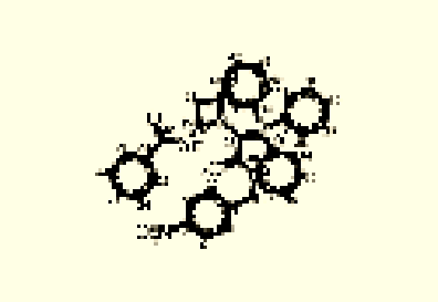 O=C(OCc1ccc([N+](=O)[O-])cc1)C(N1C(=O)C[C@@H]1SC(=O)c1ccccc1)=P(c1ccccc1)(c1ccccc1)c1ccccc1